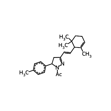 CC(=O)N1N=C(/C=C/C2C(C)=CCCC2(C)C)CC1c1ccc(C)cc1